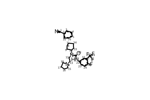 N#Cc1cccc([C@H]2CC[C@H](N(CCN3CCCC3)C(=O)Nc3ccc(F)c(C(F)(F)F)c3)CC2)c1